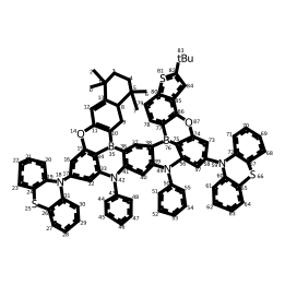 CC1(C)CCC(C)(C)C2CC3=C(C=C21)Oc1cc(N2c4ccccc4Sc4ccccc42)cc2c1B3c1cc3c(cc1N2c1ccccc1)N(c1ccccc1)c1cc(N2c4ccccc4Sc4ccccc42)cc2c1B3c1ccc3sc(C(C)(C)C)cc3c1O2